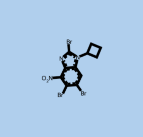 O=[N+]([O-])c1c(Br)c(Br)cc2c1nc(Br)n2C1CCC1